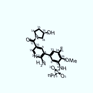 CCCS(=O)(=O)Nc1cc(-c2cc(C(=O)N3CC[C@@H](O)C3)cnc2N)cc(F)c1OC